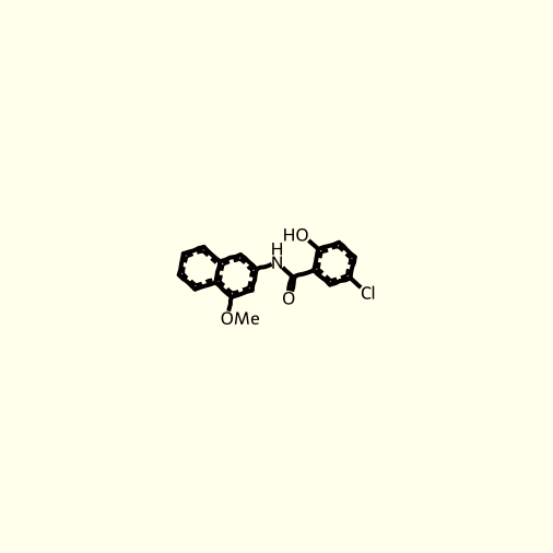 COc1cc(NC(=O)c2cc(Cl)ccc2O)cc2ccccc12